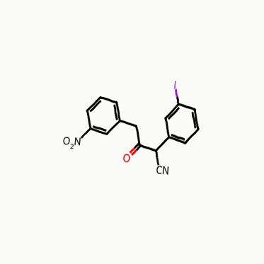 N#CC(C(=O)Cc1cccc([N+](=O)[O-])c1)c1cccc(I)c1